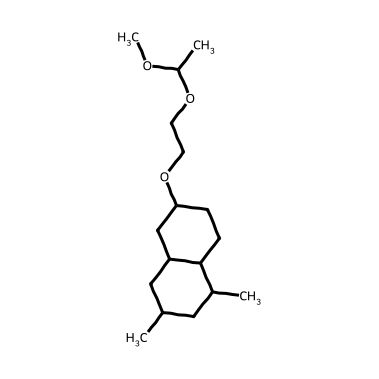 COC(C)OCCOC1CCC2C(C)CC(C)CC2C1